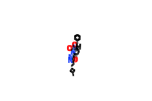 C[C@H]1C[C@H](CCc2nnc([C@@H]3CC[C@@H]4CN3C(=O)N4OCc3ccccc3)o2)C1